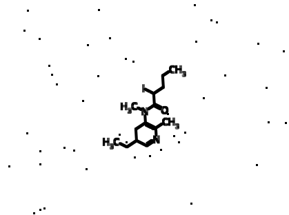 CCCC(I)C(=O)N(C)C1=C(C)N=CC(CC)C1